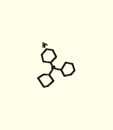 C1CCC(P(C2CCCCC2)C2CCCCC2)CC1.[Ir]